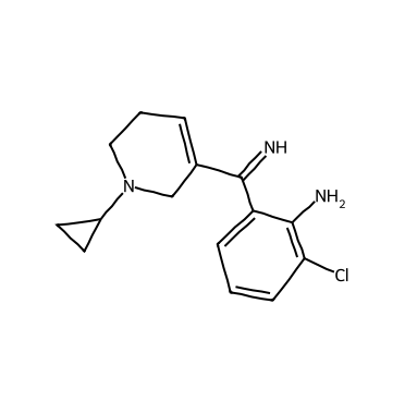 N=C(C1=CCCN(C2CC2)C1)c1cccc(Cl)c1N